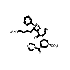 COCCCCc1c(C(=O)N(CC(C)C)[C@H]2C[C@@H](C(=O)N3CCOCC3)CN(C(=O)O)C2)nnn1-c1ccccc1